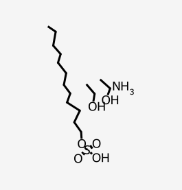 CCCCCCCCCCCCOS(=O)(=O)O.CCO.CCO.N